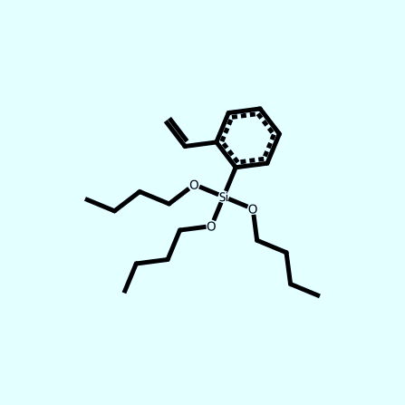 C=Cc1ccccc1[Si](OCCCC)(OCCCC)OCCCC